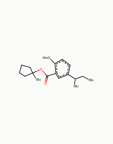 COc1ccc(C(CC(C)(C)C)C(C)(C)C)cc1C(=O)OC1(C(C)(C)C)CCCC1